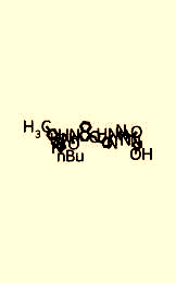 CCCCc1cc(NC(=O)Nc2ccc(OCc3ccnc(Nc4cnc(C(=O)N5CCC(O)C5)cn4)c3)c3ccccc23)n(-c2ccc(C)cc2)n1